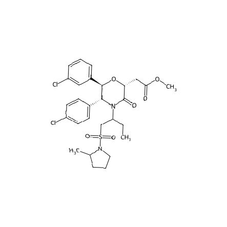 CCC(CS(=O)(=O)N1CCCC1C)N1C(=O)[C@@H](CC(=O)OC)O[C@H](c2cccc(Cl)c2)[C@H]1c1ccc(Cl)cc1